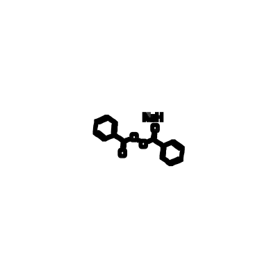 O=C(OOC(=O)c1ccccc1)c1ccccc1.[NaH]